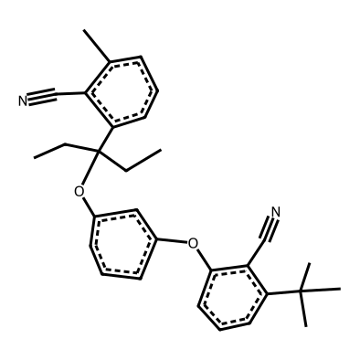 CCC(CC)(Oc1cccc(Oc2cccc(C(C)(C)C)c2C#N)c1)c1cccc(C)c1C#N